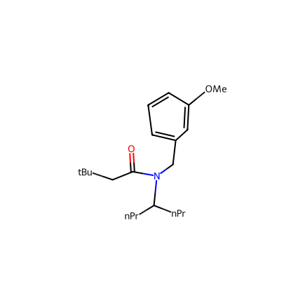 CCCC(CCC)N(Cc1cccc(OC)c1)C(=O)CC(C)(C)C